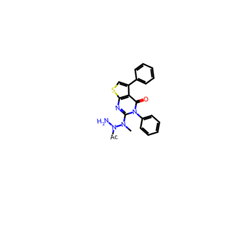 CC(=O)N(N)N(C)c1nc2scc(-c3ccccc3)c2c(=O)n1-c1ccccc1